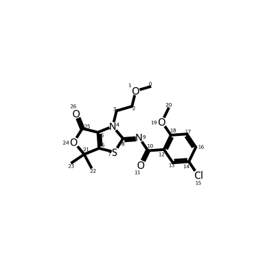 COCCn1c2c(sc1=NC(=O)c1cc(Cl)ccc1OC)C(C)(C)OC2=O